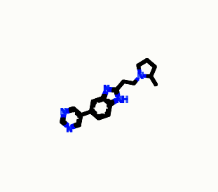 CC1CCCN1CCc1nc2cc(-c3cncnc3)ccc2[nH]1